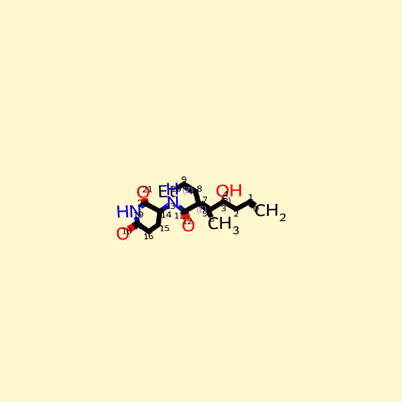 C=CC[C@@H](O)/C(C)=C(\C=C/CC)C(=O)NC1CCC(=O)NC1=O